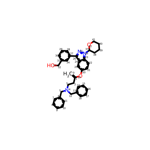 C=C(CCN(Cc1ccccc1)Cc1ccccc1)Oc1ccc2c(c1)c(-c1cccc(CO)c1)nn2C1CCCCO1